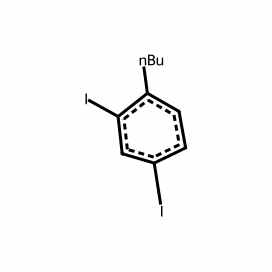 [CH2]CCCc1ccc(I)cc1I